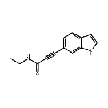 CCNC(=O)C#Cc1ccc2cc[nH]c2c1